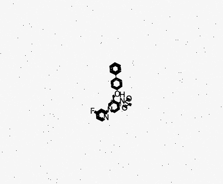 CS(=O)(=O)N[C@H]1CCN(c2cc(F)ccn2)C[C@H]1CO[C@H]1CC[C@@H](c2ccccc2)CC1